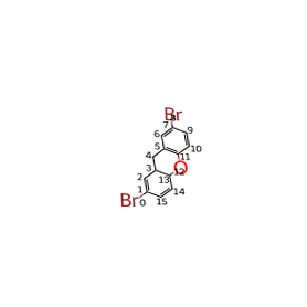 BrC1=CC2Cc3cc(Br)ccc3OC2C=C1